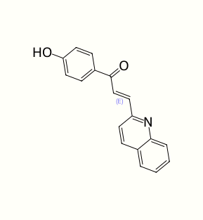 O=C(/C=C/c1ccc2ccccc2n1)c1ccc(O)cc1